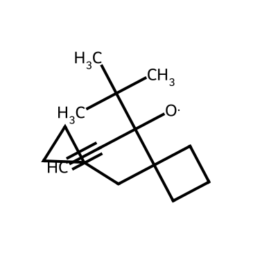 C#CC([O])(C(C)(C)C)C1(CC2CC2)CCC1